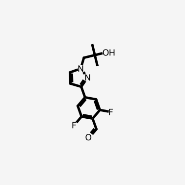 CC(C)(O)Cn1ccc(-c2cc(F)c(C=O)c(F)c2)n1